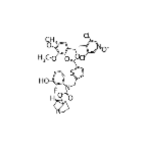 COc1ccc([C@H](Cc2c(Cl)c[n+]([O-])cc2Cl)OC(=O)c2ccc(CN(C(=O)O[C@H]3CN4CCC3CC4)c3cccc(O)c3F)s2)cc1OC